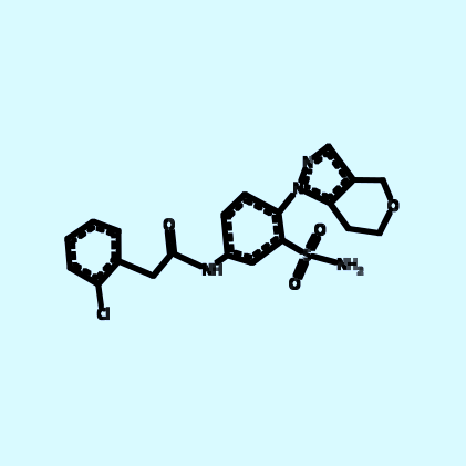 NS(=O)(=O)c1cc(NC(=O)Cc2ccccc2Cl)ccc1-n1ncc2c1CCOC2